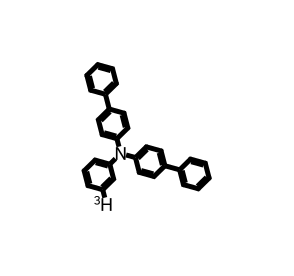 [3H]c1cccc(N(c2ccc(-c3ccccc3)cc2)c2ccc(-c3ccccc3)cc2)c1